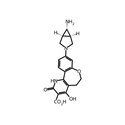 N[C@@H]1[C@H]2CN(c3ccc4c(c3)OCCc3c-4[nH]c(=O)c(C(=O)O)c3O)C[C@@H]12